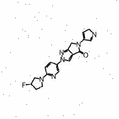 O=C1c2cn(-c3ccc(N4CC[C@@H](F)C4)nc3)nc2CN1C1=CCN=C1